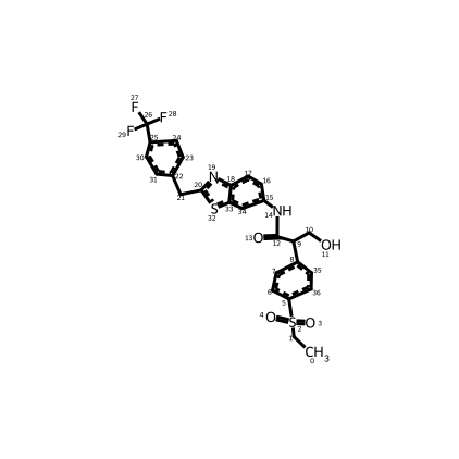 CCS(=O)(=O)c1ccc(C(CO)C(=O)Nc2ccc3nc(Cc4ccc(C(F)(F)F)cc4)sc3c2)cc1